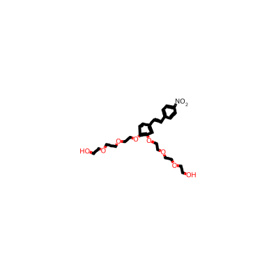 O=[N+]([O-])c1ccc(/C=C/c2ccc(OCCOCCOCCO)c(OCCOCCOCCO)c2)cc1